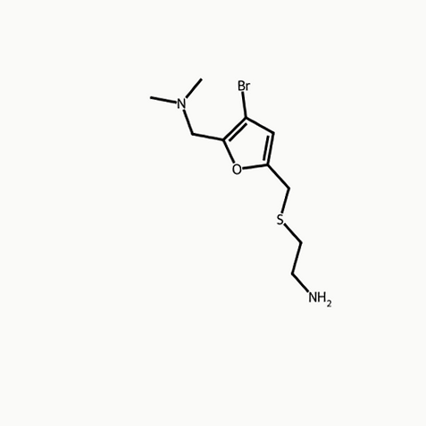 CN(C)Cc1oc(CSCCN)cc1Br